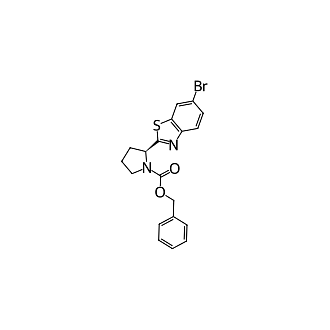 O=C(OCc1ccccc1)N1CCC[C@H]1c1nc2ccc(Br)cc2s1